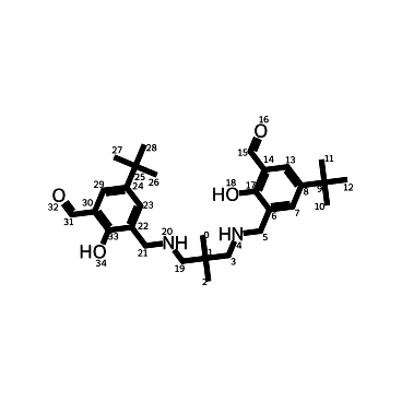 CC(C)(CNCc1cc(C(C)(C)C)cc(C=O)c1O)CNCc1cc(C(C)(C)C)cc(C=O)c1O